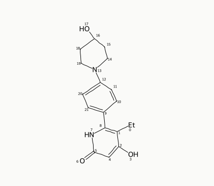 CCc1c(O)cc(=O)[nH]c1-c1ccc(N2CCC(O)CC2)cc1